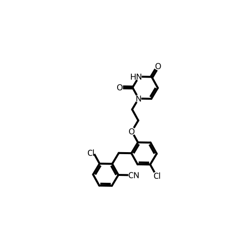 N#Cc1cccc(Cl)c1Cc1cc(Cl)ccc1OCCn1ccc(=O)[nH]c1=O